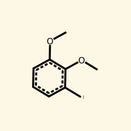 [CH]c1cccc(OC)c1OC